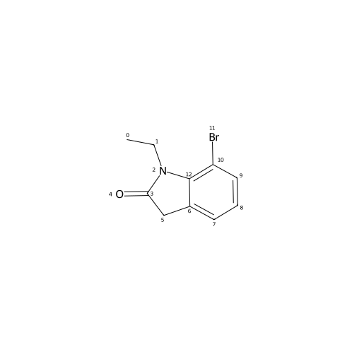 CCN1C(=O)Cc2cccc(Br)c21